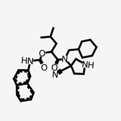 CC(C)CC(OC(=O)Nc1ccc2ccccc2c1)C(=O)N(CC1CCCCC1)C1(C#N)CCNC1